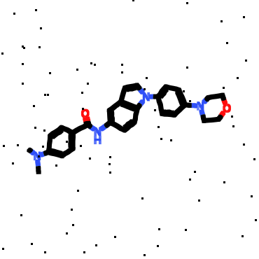 CN(C)c1ccc(C(=O)Nc2ccc3c(ccn3-c3ccc(N4CCOCC4)cc3)c2)cc1